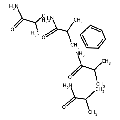 CC(C)C(N)=O.CC(C)C(N)=O.CC(C)C(N)=O.CC(C)C(N)=O.c1ccccc1